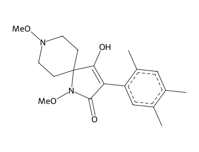 CON1CCC2(CC1)C(O)=C(c1cc(C)c(C)cc1C)C(=O)N2OC